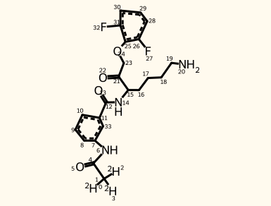 [2H]C([2H])([2H])C(=O)Nc1cccc(C(=O)NC(CCCCN)C(=O)COc2c(F)cccc2F)c1